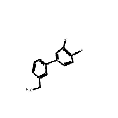 CCc1cccc(-c2ccc(F)c(Cl)c2)c1